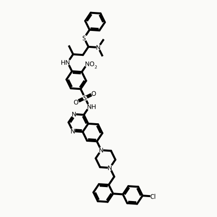 CC(CC(Sc1ccccc1)N(C)C)Nc1ccc(S(=O)(=O)Nc2ncnc3cc(N4CCN(Cc5ccccc5-c5ccc(Cl)cc5)CC4)ccc23)cc1[N+](=O)[O-]